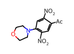 CC(=O)c1cc([N+](=O)[O-])c(N2CCOCC2)cc1[N+](=O)[O-]